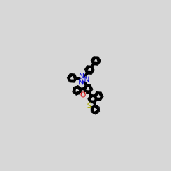 C1=CC(c2ccccc2)CC=C1c1nc(-c2ccccc2)nc(-c2ccc(-c3cc4sc5ccccc5c4c4ccccc34)c3oc4ccccc4c23)n1